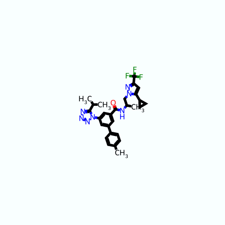 Cc1ccc(-c2cc(C(=O)NC(C)Cn3nc(C(F)(F)F)cc3C3CC3)cc(-n3nnnc3C(C)C)c2)cc1